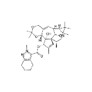 CC1=C[C@]23C(O)[C@@H](C=C4COC(C)(C)O[C@H]4[C@]2(O)[C@H]1OC(=O)c1c2c(nn1C)CCCC2)[C@@H]1C(C)(C)C1(C)C[C@H]3C